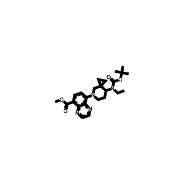 CCN(C(=O)OC(C)(C)C)C1CCN(c2ccc(C(=O)OC)c3nccnc23)CC12CC2